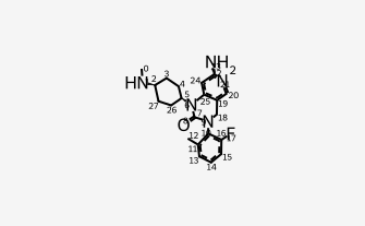 CN[C@H]1CC[C@@H](N2C(=O)N(c3c(C)cccc3F)Cc3cnc(N)cc32)CC1